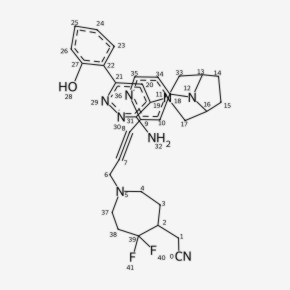 N#CCC1CCN(CC#Cc2cc(N3C4CCC3CN(c3cc(-c5ccccc5O)nnc3N)C4)ccn2)CCC1(F)F